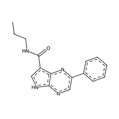 CCCNC(=O)c1c[nH]c2ncc(-c3ccccc3)nc12